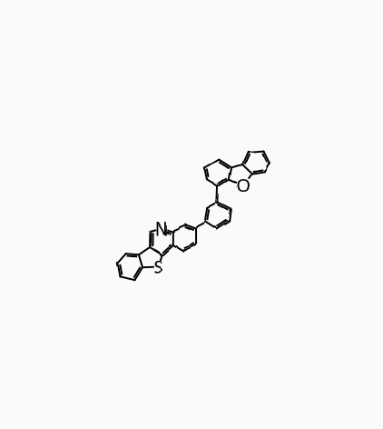 c1cc(-c2ccc3c(c2)ncc2c4ccccc4sc32)cc(-c2cccc3c2oc2ccccc23)c1